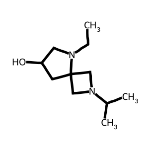 CCN1CC(O)CC12CN(C(C)C)C2